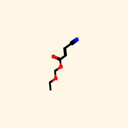 CCOCOC(=O)C=CC#N